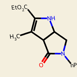 CCCN1CC2NC(C(=O)OCC)=C(C)C2C1=O